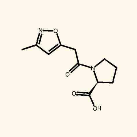 Cc1cc(CC(=O)N2CCC[C@H]2C(=O)O)on1